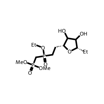 CCOP(=O)(CC[C@H]1O[C@@H](CC)C(O)C1O)CP(=O)(OC)OC